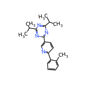 Cc1ccccc1-c1ccc(-c2nc(C(C)C)nc(C(C)C)n2)cn1